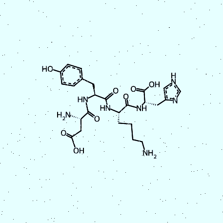 NCCCC[C@H](NC(=O)[C@H](Cc1ccc(O)cc1)NC(=O)[C@@H](N)CC(=O)O)C(=O)N[C@@H](Cc1c[nH]cn1)C(=O)O